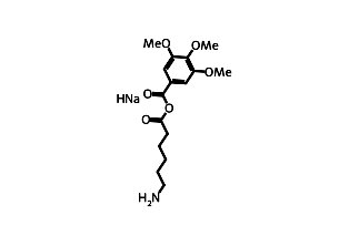 COc1cc(C(=O)OC(=O)CCCCCN)cc(OC)c1OC.[NaH]